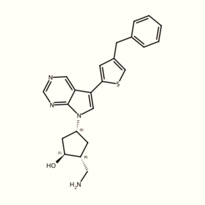 NC[C@H]1C[C@@H](n2cc(-c3cc(Cc4ccccc4)cs3)c3cncnc32)C[C@@H]1O